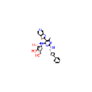 Cc1nc(NC[C@H]2C[C@H](c3ccccc3)C2)nc(N[C@@H]2C[C@H](CO)[C@@H](O)[C@H]2O)c1-c1nc2cnccc2s1